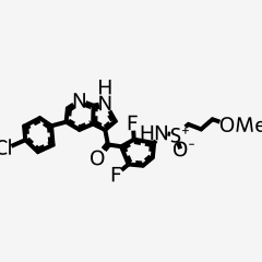 COCCC[S+]([O-])Nc1ccc(F)c(C(=O)c2c[nH]c3ncc(-c4ccc(Cl)cc4)cc23)c1F